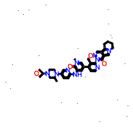 CC1CN(C2COC2)CCN1c1ccc(Nc2cc(-c3ccnc(-n4ncc5c6n(cc5c4=O)CCCC6)c3C=O)cn(C)c2=O)nc1